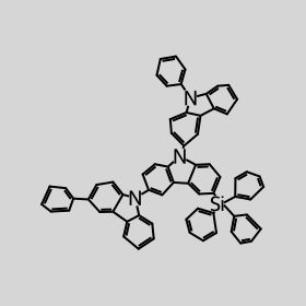 c1ccc(-c2ccc3c(c2)c2ccccc2n3-c2ccc3c(c2)c2cc([Si](c4ccccc4)(c4ccccc4)c4ccccc4)ccc2n3-c2ccc3c(c2)c2ccccc2n3-c2ccccc2)cc1